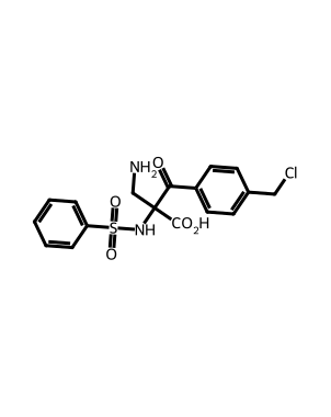 NCC(NS(=O)(=O)c1ccccc1)(C(=O)O)C(=O)c1ccc(CCl)cc1